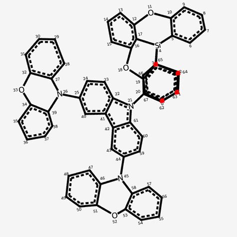 c1ccc([Si]23c4ccccc4Oc4cccc(c42)Oc2c(-n4c5ccc(N6c7ccccc7Oc7ccccc76)cc5c5cc(N6c7ccccc7Oc7ccccc76)ccc54)cccc23)cc1